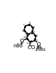 CCCCOc1cc2ccccc2c(OCCCC)c1C(=O)O